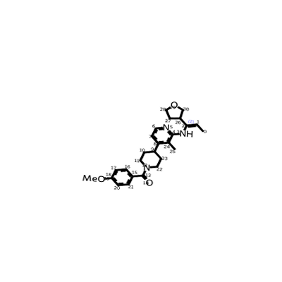 C/C=C(\Nc1nccc(C2CCN(C(=O)c3ccc(OC)cc3)CC2)c1C)C1CCOC1